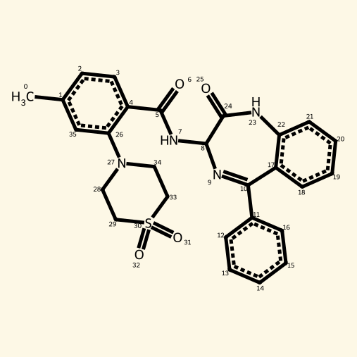 Cc1ccc(C(=O)NC2N=C(c3ccccc3)c3ccccc3NC2=O)c(N2CCS(=O)(=O)CC2)c1